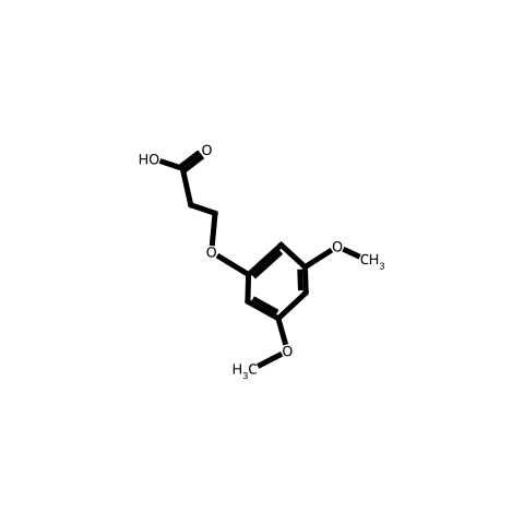 COc1cc(OC)cc(OCCC(=O)O)c1